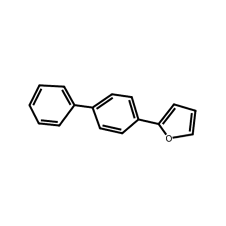 c1ccc(-c2ccc(-c3ccco3)cc2)cc1